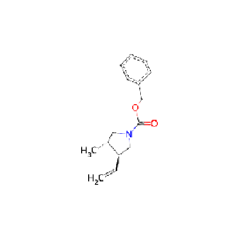 C=C[C@@H]1CN(C(=O)OCc2ccccc2)C[C@H]1C